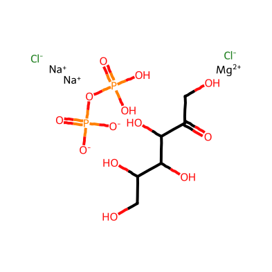 O=C(CO)C(O)C(O)C(O)CO.O=P([O-])([O-])OP(=O)(O)O.[Cl-].[Cl-].[Mg+2].[Na+].[Na+]